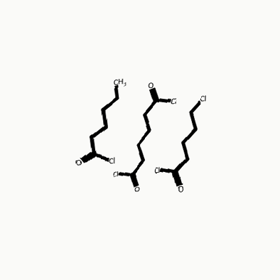 CCCCCC(=O)Cl.O=C(Cl)CCCCC(=O)Cl.O=C(Cl)CCCCCl